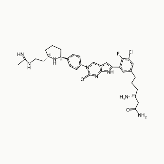 CC(=N)NCC[C@@H]1CCC[C@@H](c2ccc(-n3cc4cc(-c5cc(CCC[C@@H](N)CC(N)=O)cc(Cl)c5F)[nH]c4nc3=O)cc2)N1